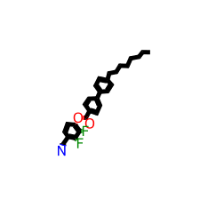 CCCCCCCCc1ccc(-c2ccc(C(=O)Oc3ccc(C#N)c(F)c3F)cc2)cc1